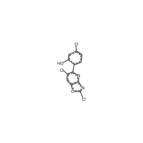 Oc1cc(Cl)ccc1-c1nc2nc(Cl)oc2cc1Cl